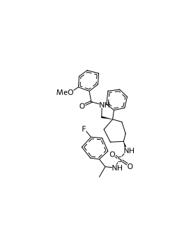 COc1ccccc1C(=O)NC[C@]1(c2ccccc2)CC[C@H](NS(=O)(=O)NC(C)c2ccc(F)cc2)CC1